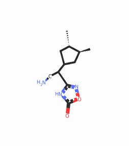 C[C@H]1CC(C(CN)c2noc(=O)[nH]2)C[C@@H]1C